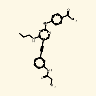 CCCNc1nc(Nc2ccc(C(N)=O)cc2)ncc1C#Cc1cccc(NC(=O)CN)c1